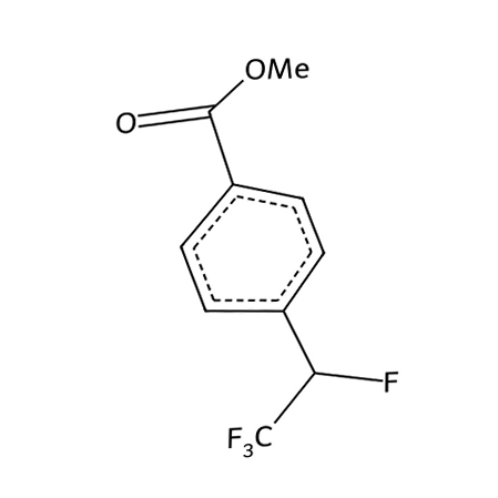 COC(=O)c1ccc(C(F)C(F)(F)F)cc1